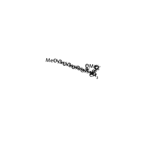 COCCOCCOCCOCCOCCOCCOCCN(CCOC)CCN(C)C(=O)OCc1ccccc1